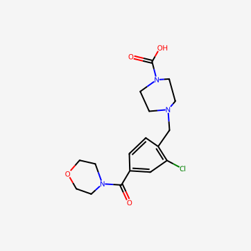 O=C(O)N1CCN(Cc2ccc(C(=O)N3CCOCC3)cc2Cl)CC1